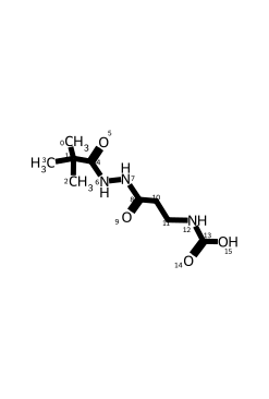 CC(C)(C)C(=O)NNC(=O)CCNC(=O)O